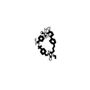 CCn1c(CCCc2ccc(-c3ccc(OC)c(NS(=O)(=O)c4ccc(C(F)(F)F)cc4)n3)cc2)nn(Cc2ccc(C(C)(C)C)cc2)c1=O